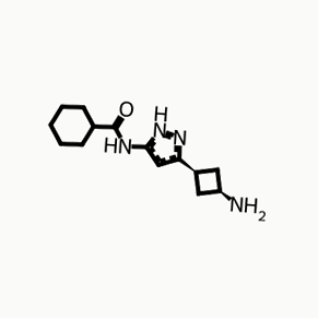 N[C@H]1C[C@@H](c2cc(NC(=O)C3CCCCC3)[nH]n2)C1